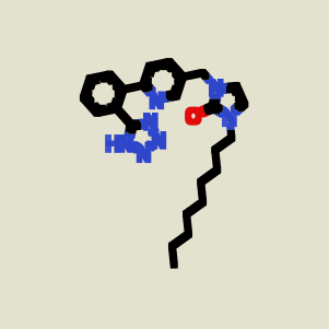 CCCCCCCCCn1ccn(Cc2ccc(-c3ccccc3-c3nnn[nH]3)nc2)c1=O